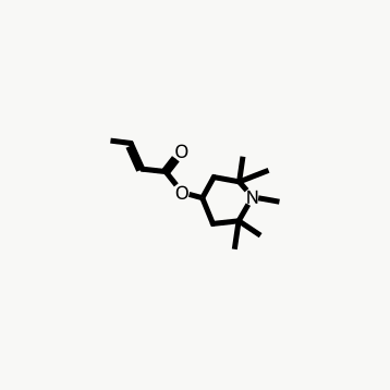 CC=CC(=O)OC1CC(C)(C)N(C)C(C)(C)C1